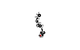 COc1cc2c(Nc3cnn(CC(=O)Nc4cccc(F)c4F)c3)ncnc2cc1OCCCN1CCC[C@H]1C(OP(=O)(O)O)(C(C)(C)C)C(C)(C)C